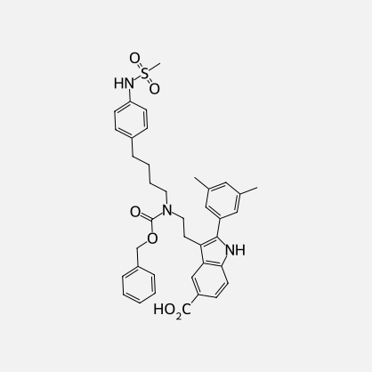 Cc1cc(C)cc(-c2[nH]c3ccc(C(=O)O)cc3c2CCN(CCCCc2ccc(NS(C)(=O)=O)cc2)C(=O)OCc2ccccc2)c1